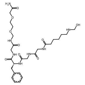 NC(=O)COCCOCNC(=O)CNC(=O)[C@H](Cc1ccccc1)NC(=O)CNC(=O)CNC(=O)CCCCCNCO